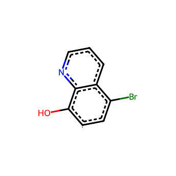 Oc1[c]cc(Br)c2cccnc12